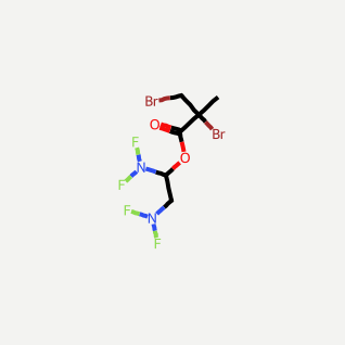 CC(Br)(CBr)C(=O)OC(CN(F)F)N(F)F